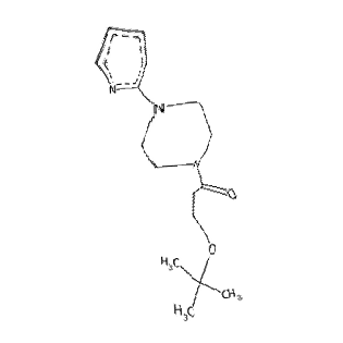 CC(C)(C)OCC(=O)N1CCN(c2ccccn2)CC1